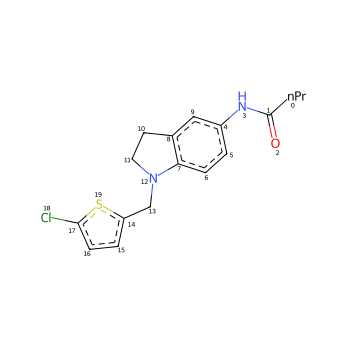 CCCC(=O)Nc1ccc2c(c1)CCN2Cc1ccc(Cl)s1